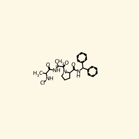 CC(NCl)C(=O)N[C@@H](C)C(=O)N1CCCC1C(=O)NC(c1ccccc1)c1ccccc1